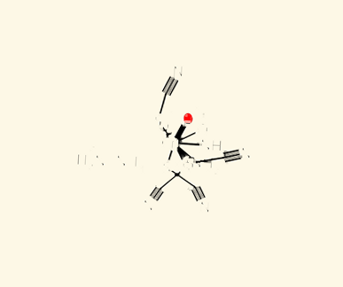 N#C[S][Cr]([NH2])([NH2])(=[O])(=[O])([O-])([O-])([S]C#N)([S]C#N)[S]C#N.[NH4+].[NH4+]